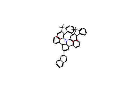 CC1(C)c2ccccc2-c2ccc(N(c3cccc4c3-c3ccccc3C4(C)C)c3c(-c4ccccc4)cc(-c4ccc5ccccc5c4)cc3-c3ccccc3)cc21